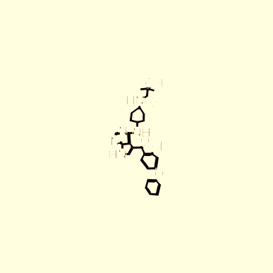 CC(C)(O)C(=O)NC1CCC(Nc2ncnc3[nH]cc(C(=O)c4ccc(Oc5ccccc5)cc4Cl)c23)CC1